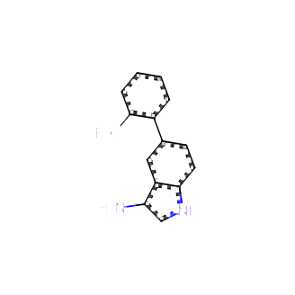 Nc1c[nH]c2ccc(-c3ccccc3C(F)(F)F)cc12